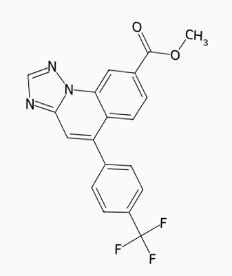 COC(=O)c1ccc2c(-c3ccc(C(F)(F)F)cc3)cc3ncnn3c2c1